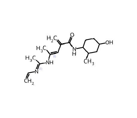 C=C/N=C(\C)N/C(C)=C/C(=C)C(=O)NC1CCC(O)CC1C